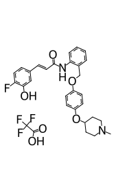 CN1CCC(Oc2ccc(OCc3ccccc3NC(=O)C=Cc3ccc(F)c(O)c3)cc2)CC1.O=C(O)C(F)(F)F